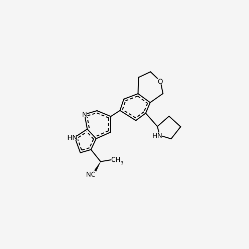 C[C@@H](C#N)c1c[nH]c2ncc(-c3cc4c(c(C5CCCN5)c3)COCC4)cc12